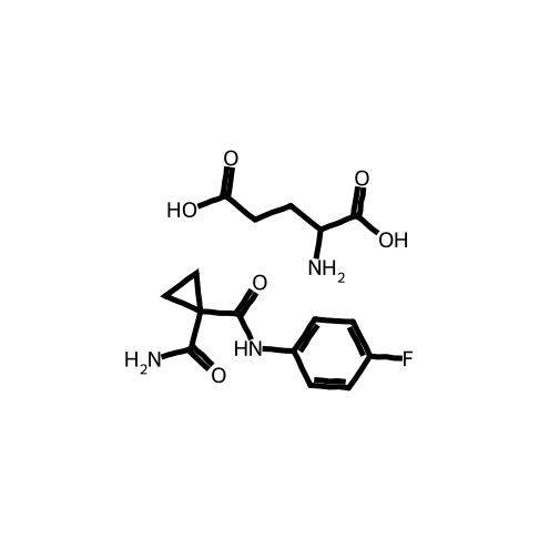 NC(=O)C1(C(=O)Nc2ccc(F)cc2)CC1.NC(CCC(=O)O)C(=O)O